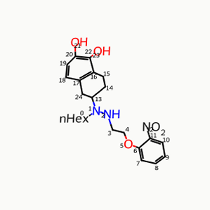 CCCCCCN(NCCOc1ccccc1[N+](=O)[O-])C1CCc2c(ccc(O)c2O)C1